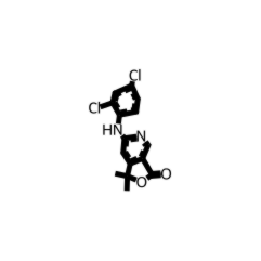 CC1(C)OC(=O)c2cnc(Nc3ccc(Cl)cc3Cl)cc21